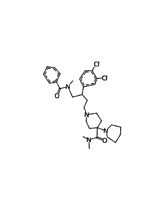 CN(C)C(=O)C1(N2CCCCC2)CCN(CCC(CN(C)C(=O)c2ccccc2)c2ccc(Cl)c(Cl)c2)CC1